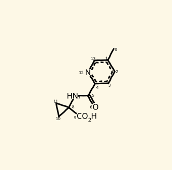 Cc1ccc(C(=O)NC2(C(=O)O)CC2)nc1